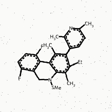 CCc1c(C)c2c(c(C)c1-c1ccc(C)nc1C)-c1c(F)ccc(F)c1CN2SC